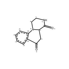 O=C1CC2C(=O)NCCN2c2ncccc21